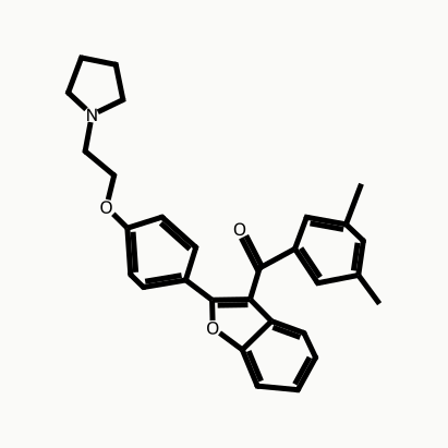 Cc1cc(C)cc(C(=O)c2c(-c3ccc(OCCN4CCCC4)cc3)oc3ccccc23)c1